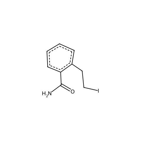 NC(=O)c1ccccc1CCI